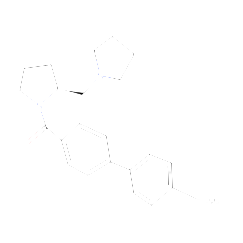 COc1ccc(-c2ccc(C(=O)N3CCC[C@H]3CN3CCCC3)cc2)cc1